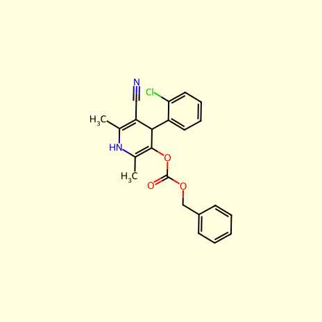 CC1=C(C#N)C(c2ccccc2Cl)C(OC(=O)OCc2ccccc2)=C(C)N1